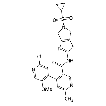 COc1cnc(Cl)cc1-c1cc(C)ncc1C(=O)Nc1nc2c(s1)CN(S(=O)(=O)C1CC1)C2